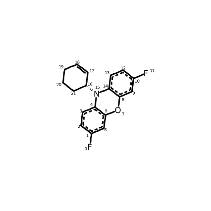 Fc1ccc2c(c1)Oc1cc(F)ccc1N2[C@H]1C=CCCC1